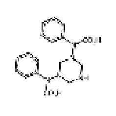 O=C(O)N(c1ccccc1)N1CNCN(N(C(=O)O)c2ccccc2)C1